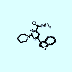 NC(=O)c1cc(-c2csc3ccccc23)nc(N2CCCCC2)n1